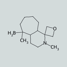 BC1(C)CCCCC2C1CCN(C)C21COC1